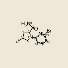 NC(=O)C1CC(F)CN1c1cccc(Br)n1